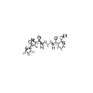 CCOc1ncccc1C(=O)NCCCNC(=O)c1cc(-c2cccs2)on1